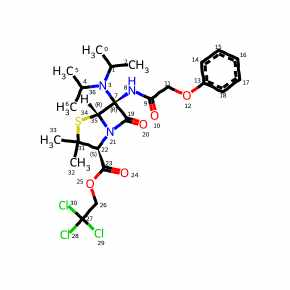 CC(C)N(C(C)C)[C@]1(NC(=O)COc2ccccc2)C(=O)N2[C@@H](C(=O)OCC(Cl)(Cl)Cl)C(C)(C)S[C@@H]21